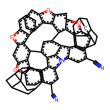 N#Cc1cc2c(c3c1C1CC4CC(C1)CC3C4)c1c(-c3c4c(cc5oc6ccccc6c35)oc3ccccc34)cc(-c3c4c(cc5oc6ccccc6c35)oc3ccccc34)c3c4c5c(c(C#N)cc4n2c13)C1CC2CC3CC5CC23C1